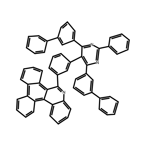 c1ccc(-c2cccc(-c3nc(-c4ccccc4)nc(-c4cccc(-c5ccccc5)c4)c3-c3cccc(-c4nc5ccccc5c5c6ccccc6c6ccccc6c45)c3)c2)cc1